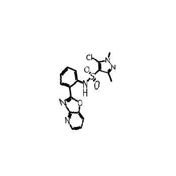 Cc1nn(C)c(Cl)c1S(=O)(=O)Nc1ccccc1-c1nc2ncccc2o1